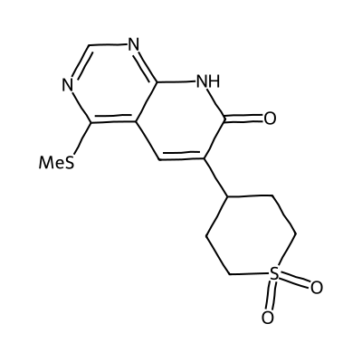 CSc1ncnc2[nH]c(=O)c(C3CCS(=O)(=O)CC3)cc12